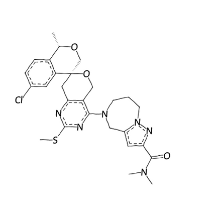 CSc1nc2c(c(N3CCCn4nc(C(=O)N(C)C)cc4C3)n1)CO[C@@]1(CO[C@@H](C)c3ccc(Cl)cc31)C2